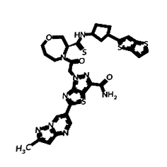 Cc1cc2ncc(-c3nc4c(s3)c(C(N)=O)nn4CC(=O)N3CCCOC[C@H]3C(=S)NC3CCC(c4cc5sccc5s4)C3)cn2n1